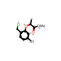 CCc1ccc(CCl)c(OC(C)C(=O)OC)c1